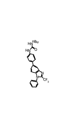 CCCCNC(=O)Nc1ccc(-c2ccc3c(c2)nc(C(F)(F)F)n3-c2ccccc2)cc1